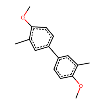 COc1ccc(-c2ccc(OC)c(C)c2)cc1C